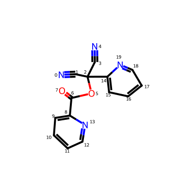 N#CC(C#N)(OC(=O)c1ccccn1)c1ccccn1